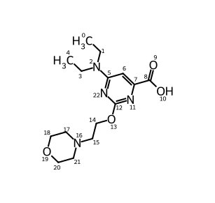 CCN(CC)c1cc(C(=O)O)nc(OCCN2CCOCC2)n1